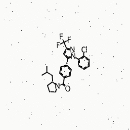 CC(C)CC1CCCN1C(=O)c1ccc(-c2cc(C(F)(F)F)nn2-c2ccccc2Cl)cc1